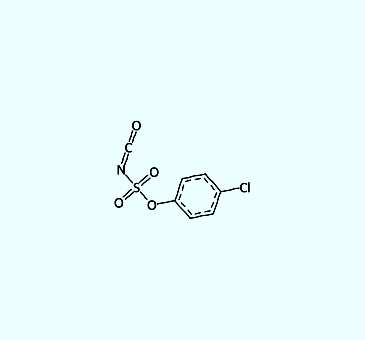 O=C=NS(=O)(=O)Oc1ccc(Cl)cc1